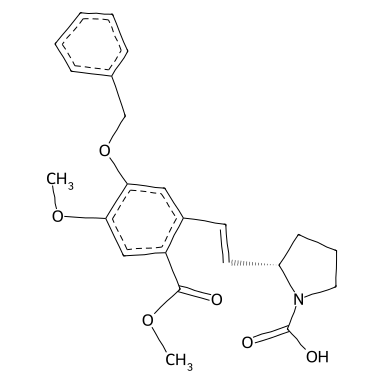 COC(=O)c1cc(OC)c(OCc2ccccc2)cc1C=C[C@@H]1CCCN1C(=O)O